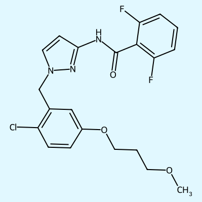 COCCCOc1ccc(Cl)c(Cn2ccc(NC(=O)c3c(F)cccc3F)n2)c1